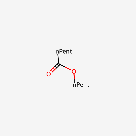 [CH2]CCCCC(=O)OCCCCC